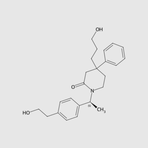 C[C@@H](c1ccc(CCO)cc1)N1CCC(CCCO)(c2ccccc2)CC1=O